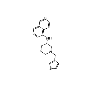 c1cc(NC2CCCN(Cc3ccsc3)C2)c2ccncc2c1